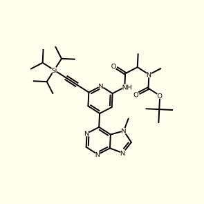 CC(C(=O)Nc1cc(-c2ncnc3ncn(C)c23)cc(C#C[Si](C(C)C)(C(C)C)C(C)C)n1)N(C)C(=O)OC(C)(C)C